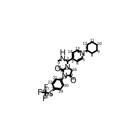 CNC(c1cc[n+](C2CCCCC2)cc1)N1CC(=O)N(c2ccc(SC(F)(F)F)cc2)C1=O